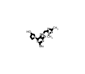 Cc1nc(Cn2nc3nc(C(C)(C)C)nc(N4CCC(O)C4)c3n2)n(C)n1